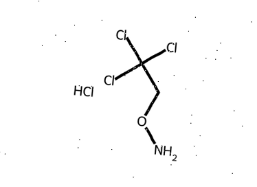 Cl.NOCC(Cl)(Cl)Cl